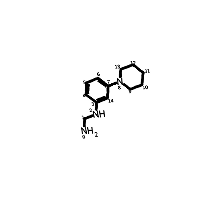 NCNc1cccc(N2CCCCC2)c1